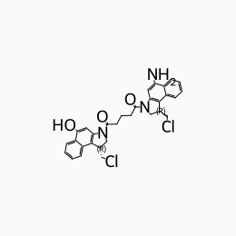 Nc1cc2c(c3ccccc13)[C@@H](CCl)CN2C(=O)CCCC(=O)N1C[C@H](CCl)c2c1cc(O)c1ccccc21